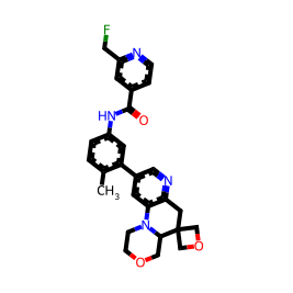 Cc1ccc(NC(=O)c2ccnc(CF)c2)cc1-c1cnc2c(c1)N1CCOCC1C1(COC1)C2